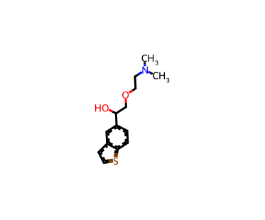 CN(C)CCOCC(O)c1ccc2sccc2c1